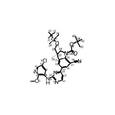 COc1ncc(Cl)cc1Nc1nccc(-c2cc(C#N)c3c(c2)[C@@](C)(CO[Si](C)(C)C(C)(C)C)CN3C(=O)OC(C)(C)C)n1